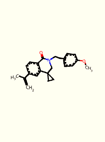 C=C(C)c1ccc2c(c1)C1(CC1)CN(Cc1ccc(OC)cc1)C2=O